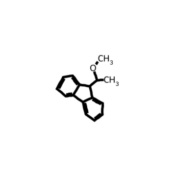 COC(C)C1c2ccccc2-c2ccccc21